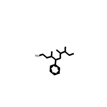 CCC(C)C(C)CC(c1ccccc1)C(C)CCO